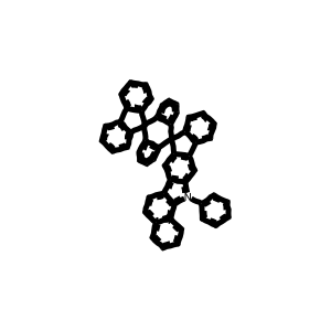 c1ccc(-n2c3cc4c(cc3c3ccc5ccccc5c32)C2(c3ccccc3-4)c3ccccc3C3(c4ccccc4-c4ccccc43)c3ccccc32)cc1